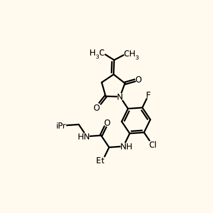 CCC(Nc1cc(N2C(=O)CC(=C(C)C)C2=O)c(F)cc1Cl)C(=O)NCC(C)C